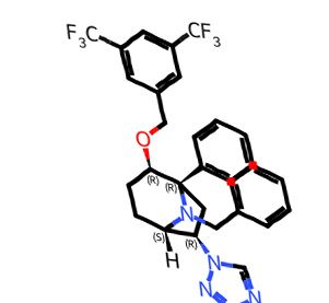 FC(F)(F)c1cc(CO[C@@H]2CC[C@H]3[C@H](n4cnnn4)C[C@]2(c2ccccc2)N3Cc2ccccc2)cc(C(F)(F)F)c1